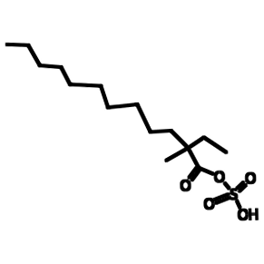 CCCCCCCCCCC(C)(CC)C(=O)OS(=O)(=O)O